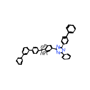 CCCC(CCC)(c1ccc(-c2cccc(-c3ccccc3)c2)cc1)c1ccc(-c2nc(C3=CCCC=C3)nc(-c3ccc(-c4ccccc4)cc3)n2)cc1